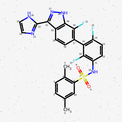 Cc1ccc(C)c(S(=O)(=O)Nc2ccc(F)c(-c3ccc4c(-c5ncc[nH]5)n[nH]c4c3F)c2F)c1